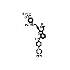 NS(=O)(=O)c1ccc(NCC#Cc2sc3c(NC4CCC(N5CCS(=O)(=O)CC5)CC4)cccc3c2CC(F)(F)F)c(OCF)c1